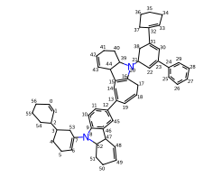 C1=CC(C2CCC=C(N3c4ccc(C5=CC6=C(CC=C5)N(C5C=C(c7ccccc7)C=C(C7=CCCCC7)C5)C5CCC=CC65)cc4C4C=CCCC43)C2)CCC1